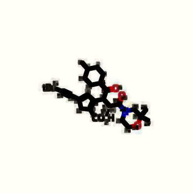 CC1CCC(C(=O)C(C2=C(C(=O)O)CC(C#CC(C)(C)C)=C2)[C@@H](C)C(=O)N2CCOC(C)(C)C2)CC1